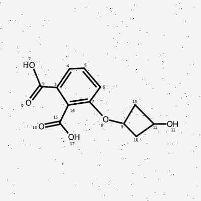 O=C(O)c1cccc(OC2CC(O)C2)c1C(=O)O